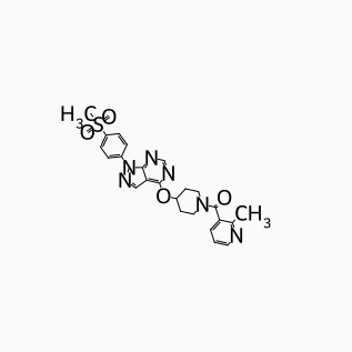 Cc1ncccc1C(=O)N1CCC(Oc2ncnc3c2cnn3-c2ccc(S(C)(=O)=O)cc2)CC1